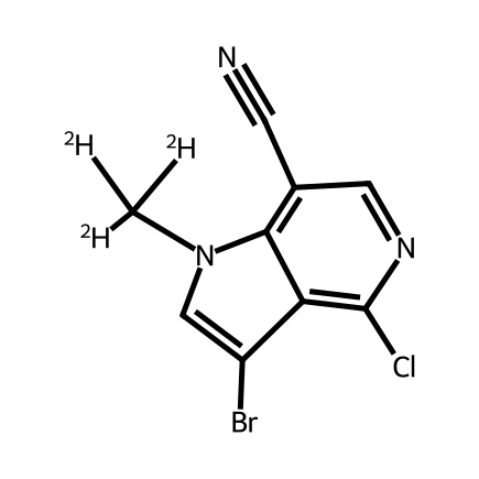 [2H]C([2H])([2H])n1cc(Br)c2c(Cl)ncc(C#N)c21